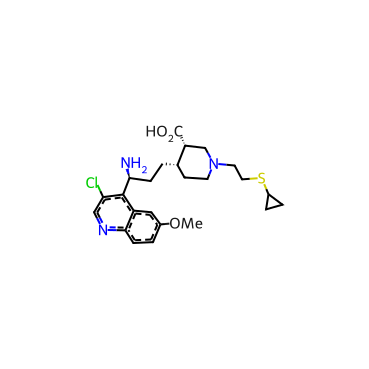 COc1ccc2ncc(Cl)c([C@@H](N)CC[C@H]3CCN(CCSC4CC4)C[C@H]3C(=O)O)c2c1